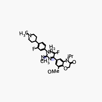 C=C(F)/C(=N\C(=N/C)Nc1ccc(C2CCN(C)CC2)c(F)c1)c1cc(OC)c2c(c1)N(C(C)C)C(=O)CO2